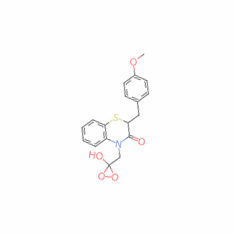 COc1ccc(CC2Sc3ccccc3N(CC3(O)OO3)C2=O)cc1